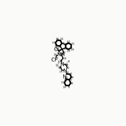 C[C@@H]1CN(c2ccc3ccccc3n2)C[C@H](C)N1CCCCC1(C(=O)NCC(F)(F)F)c2ccccc2-c2ccccc21